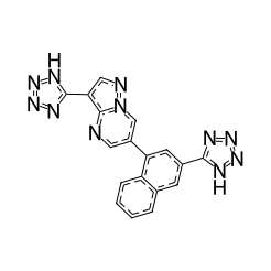 c1ccc2c(-c3cnc4c(-c5nnn[nH]5)cnn4c3)cc(-c3nnn[nH]3)cc2c1